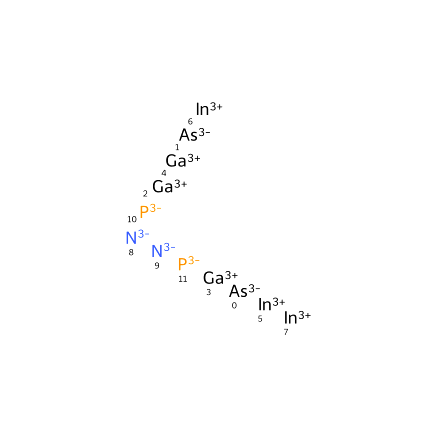 [As-3].[As-3].[Ga+3].[Ga+3].[Ga+3].[In+3].[In+3].[In+3].[N-3].[N-3].[P-3].[P-3]